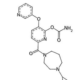 NC(=O)Oc1nc(C(=O)N2CCCN(C3CC3)CC2)ccc1Oc1cccnc1